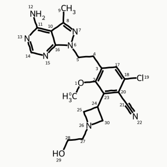 COc1c(CCn2nc(C)c3c(N)ncnc32)cc(Cl)c(C#N)c1C1CN(CCO)C1